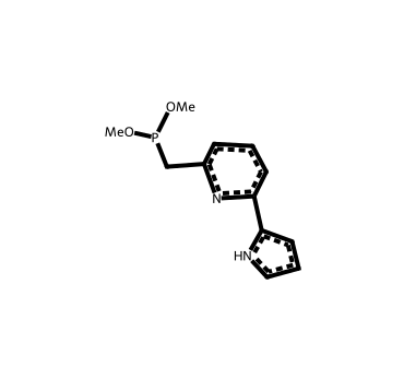 COP(Cc1cccc(-c2ccc[nH]2)n1)OC